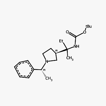 CCC(C)(NC(=O)OC(C)(C)C)[C@@H]1CCN([C@H](C)c2ccccc2)C1